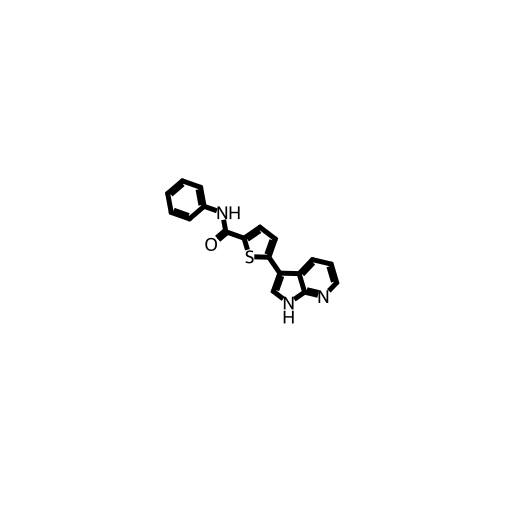 O=C(Nc1ccccc1)c1ccc(-c2c[nH]c3ncccc23)s1